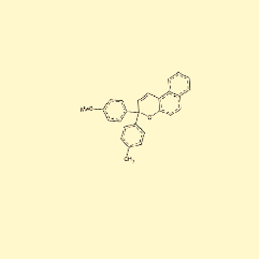 COc1ccc(C2(c3ccc(C)cc3)C=Cc3c(ccc4ccccc34)O2)cc1